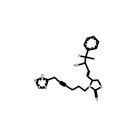 O=C1SCC(/C=C/C(O)C(F)(F)c2ccccc2)N1CCCC#CCc1nnn[nH]1